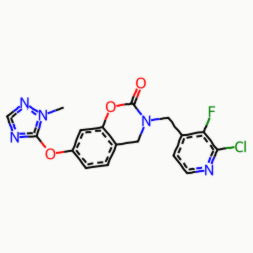 Cn1ncnc1Oc1ccc2c(c1)OC(=O)N(Cc1ccnc(Cl)c1F)C2